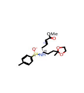 COC(=O)/C=C/C[C@H](CCC1(C)OCCO1)N[S@@+]([O-])c1ccc(C)cc1